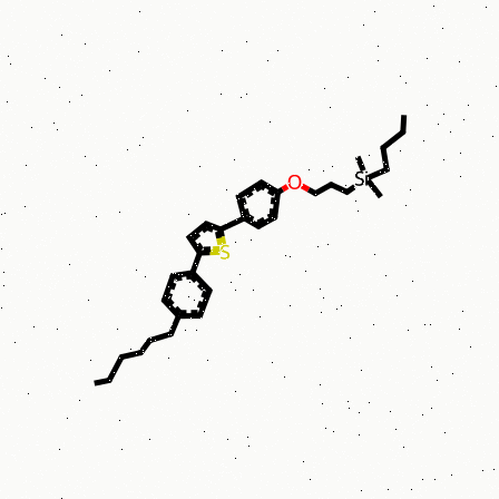 CCCCCCc1ccc(-c2ccc(-c3ccc(OCCC[Si](C)(C)CCCC)cc3)s2)cc1